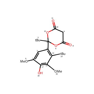 COc1cc(C2(C(C)(C)C)OC(=O)CC(=O)O2)c(C(C)(C)C)c(OC)c1O